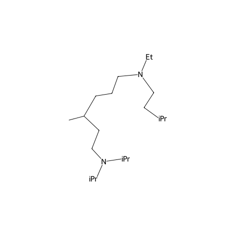 CCN(CCCC(C)CCN(C(C)C)C(C)C)CCC(C)C